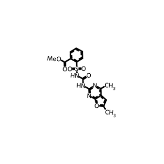 COC(=O)c1ccccc1S(=O)(=O)NC(=O)Nc1nc(C)c2cc(C)oc2n1